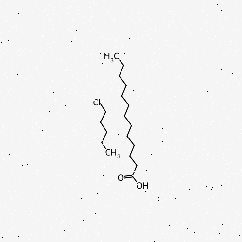 CCCCCCCCCCCCC(=O)O.CCCCCCl